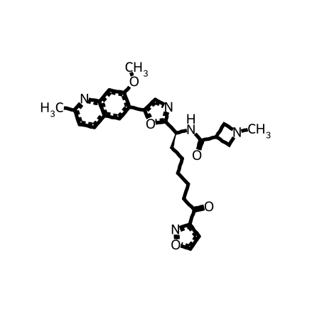 COc1cc2nc(C)ccc2cc1-c1cnc([C@H](CCCCCC(=O)c2ccon2)NC(=O)C2CN(C)C2)o1